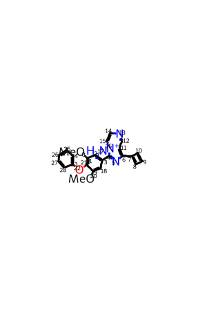 COc1cc(C2=NC(C3=CC=C3)=C3C=NC=C[N+]23N)cc(OC)c1Oc1ccccc1